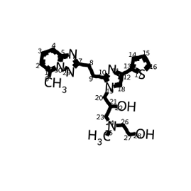 Cc1cccc2nc(CCc3nc(-c4cccs4)cn3CC(O)CN(C)CCO)nn12